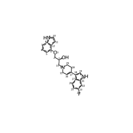 O[C@H](COc1cccc2[nH]ccc12)CN1CC=C(c2c[nH]c3cc(F)ccc23)CC1